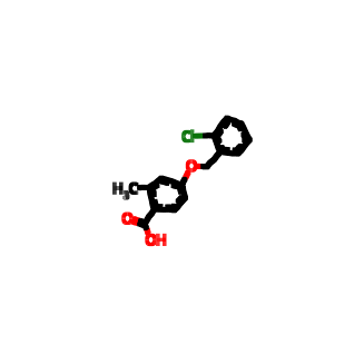 Cc1cc(OCc2ccccc2Cl)ccc1C(=O)O